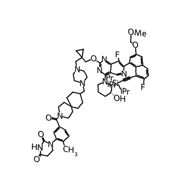 COCOc1cc(-c2ncc3c(N4CCC[C@@H](O)C4)nc(OCC4(CN5CCN(CC6CCC7(CC6)CCN(C(=O)c6ccc(C)c(N8CCC(=O)NC8=O)c6)CC7)CC5)CC4)nc3c2F)c2c(C#C[Si](C(C)C)(C(C)C)C(C)C)c(F)ccc2c1